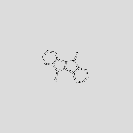 O=c1c2c3ccccc3c(=O)c=2c2ccccc12